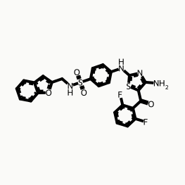 Nc1nc(Nc2ccc(S(=O)(=O)NCc3cc4ccccc4o3)cc2)sc1C(=O)c1c(F)cccc1F